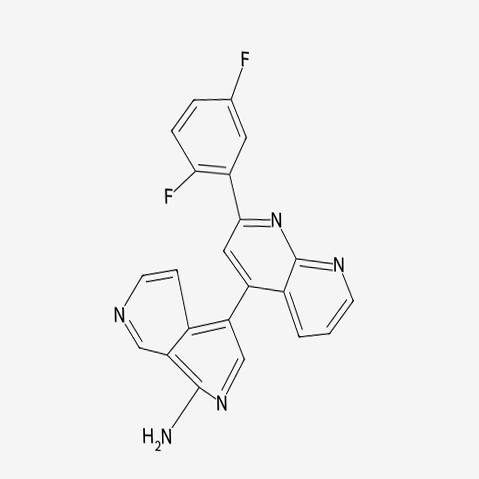 Nc1ncc(-c2cc(-c3cc(F)ccc3F)nc3ncccc23)c2ccncc12